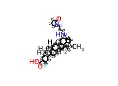 C=C(C)[C@@H]1CC[C@]2(CNCCCN3CCCC3=O)CC[C@]3(C)[C@H](CC[C@@H]4[C@@]5(C)CC=C(c6ccc(C(=O)O)c(F)c6)C(C)(C)[C@@H]5CC[C@]43C)[C@@H]12